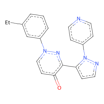 CCc1cccc(-n2ccc(=O)c(-c3ccnn3-c3ccncc3)n2)c1